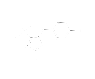 Cc1cn(C(O)c2ccc(Cl)cc2)c(C(C)(F)F)n1